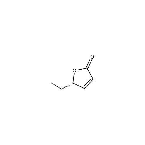 CC[C@H]1C=CC(=O)O1